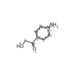 N[n+]1ccc(C(=O)CO)cc1